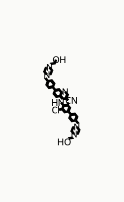 Cc1cc(-c2ccc(CN3CCN(CCO)CC3)cc2)cc(Cl)c1Nc1c(C#N)cnc2cc(-c3ccc(CN4CCN(CCO)CC4)cc3)ccc12